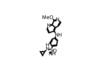 COc1nccc2c(Nc3ccc(S(=N)(=O)NC4CC4)cc3)ccnc12